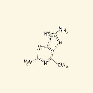 Cc1nc(N)nc2[nH]c(N)nc12